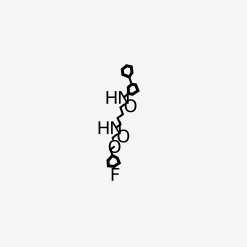 O=C(COCc1ccc(F)cc1)NCCCCC(=O)Nc1cccc(-c2ccccc2)c1